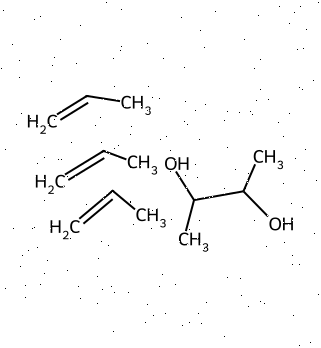 C=CC.C=CC.C=CC.CC(O)C(C)O